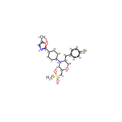 Cc1cnc(C2CCC(N3C[C@H](CS(C)(=O)=O)OC[C@@H]3Cc3ccc(Br)cc3)CC2)o1